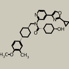 COc1ccc([C@H]2CC[C@H](CN(c3cc(-c4coc(C5CC5)n4)ccn3)C(=O)[C@H]3CC[C@H](O)CC3)CC2)cc1C